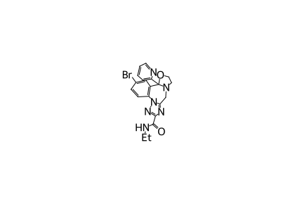 CCNC(=O)c1nc2n(n1)-c1ccc(Br)cc1C1(c3ccccn3)OCCN1C2